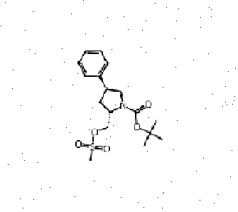 CC(C)(C)OC(=O)N1C[C@H](c2ccccc2)C[C@H]1COS(C)(=O)=O